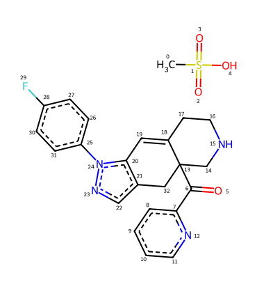 CS(=O)(=O)O.O=C(c1ccccn1)C12CNCCC1=Cc1c(cnn1-c1ccc(F)cc1)C2